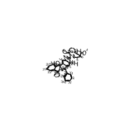 COCC(C)(C)CN(C(=O)O)c1nc2cc(C3(O)c4ccccc4C(=O)N3Cc3ccccc3)ccc2[nH]1